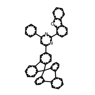 c1ccc(-c2cc(-c3ccc4c(c3)-c3ccccc3C43c4ccccc4-c4ccccc4-c4ccccc43)nc(-c3cccc4c3oc3ccccc34)n2)cc1